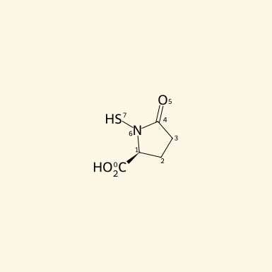 O=C(O)[C@@H]1CCC(=O)N1S